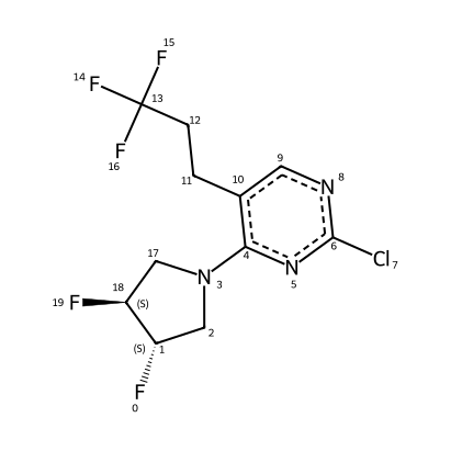 F[C@H]1CN(c2nc(Cl)ncc2CCC(F)(F)F)C[C@@H]1F